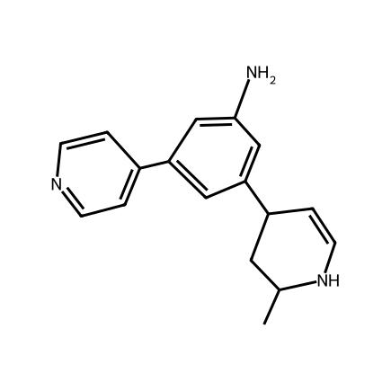 CC1CC(c2cc(N)cc(-c3ccncc3)c2)C=CN1